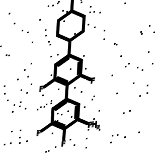 CC1CCC(c2cc(F)c(-c3cc(F)c(F)c(P)c3)c(F)c2)CC1